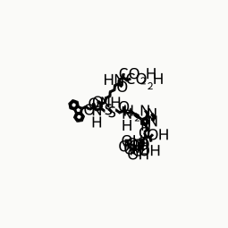 CC(O)C(COP(=O)(O)OP(=O)(O)OP(=O)(O)O)OCn1cc(C#CCNC(=O)CCSSCC(NC(=O)OCC2c3ccccc3-c3ccccc32)C(=O)NCCCCCC(=O)NC(CC(=O)O)C(=O)O)c2c(N)ncnc21